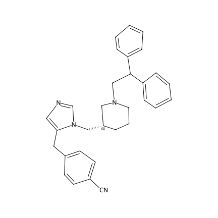 N#Cc1ccc(Cc2cncn2C[C@H]2CCCN(CC(c3ccccc3)c3ccccc3)C2)cc1